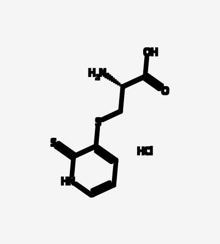 Cl.N[C@@H](CSc1ccc[nH]c1=S)C(=O)O